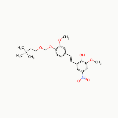 COc1cc(C=Cc2cc([N+](=O)[O-])cc(OC)c2O)ccc1OCOCC[Si](C)(C)C